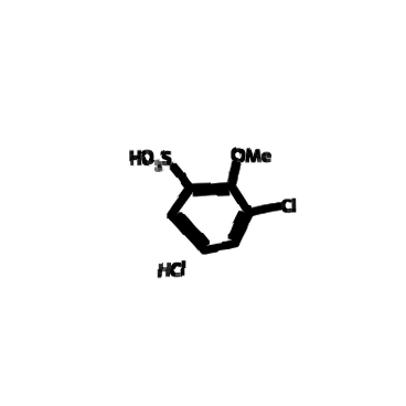 COc1c(Cl)cccc1S(=O)(=O)O.Cl